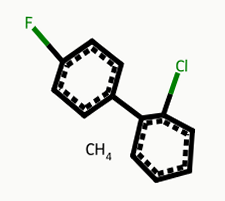 C.Fc1ccc(-c2ccccc2Cl)cc1